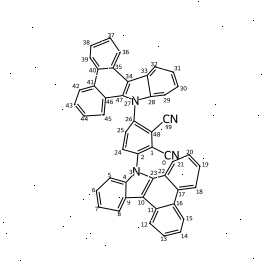 N#Cc1c(-n2c3ccccc3c3c4ccccc4c4ccccc4c32)ccc(-n2c3ccccc3c3c4ccccc4c4ccccc4c32)c1C#N